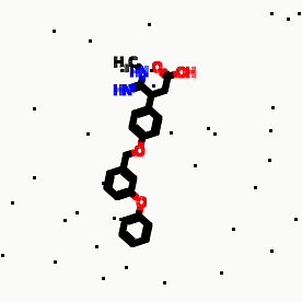 CNC(=N)C(CC(=O)O)c1ccc(OCc2cccc(Oc3ccccc3)c2)cc1